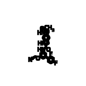 CS(=O)(=O)Nc1ccc2cc(C(=O)Nc3cc(OCC#N)cc(-c4ccc(F)cc4F)c3)[nH]c2c1